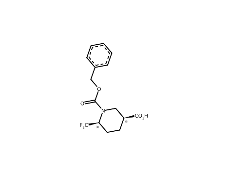 O=C(O)[C@H]1CC[C@@H](C(F)(F)F)N(C(=O)OCc2ccccc2)C1